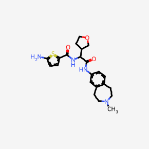 CN1CCc2ccc(NC(=O)C(NC(=O)c3ccc(N)s3)C3CCOC3)cc2CC1